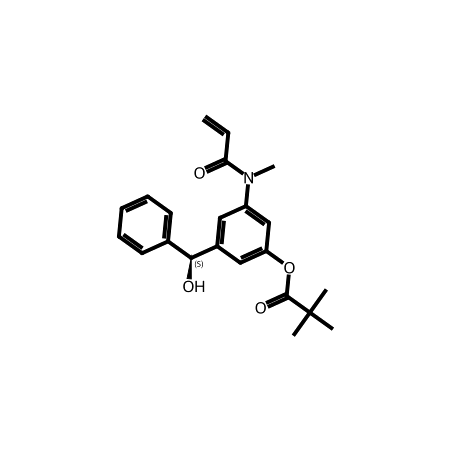 C=CC(=O)N(C)c1cc(OC(=O)C(C)(C)C)cc([C@@H](O)c2ccccc2)c1